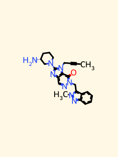 CC#CCn1c(N2CCC[C@@H](N)C2)nc2cnn(Cc3c4ccccc4nn3C)c(=O)c21